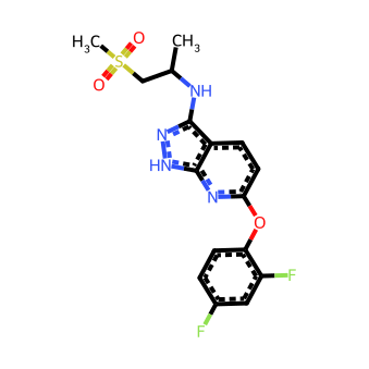 CC(CS(C)(=O)=O)Nc1n[nH]c2nc(Oc3ccc(F)cc3F)ccc12